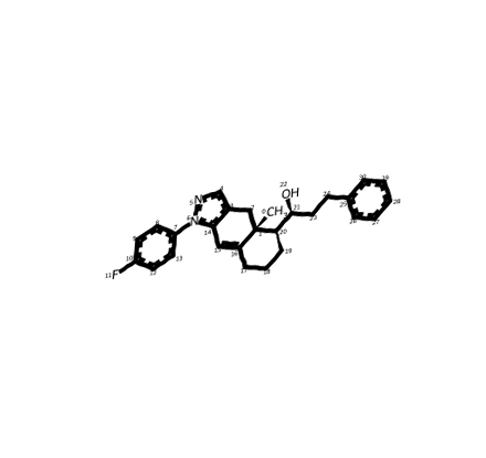 C[C@]12Cc3cnn(-c4ccc(F)cc4)c3C=C1CCC[C@@H]2[C@@H](O)CCc1ccccc1